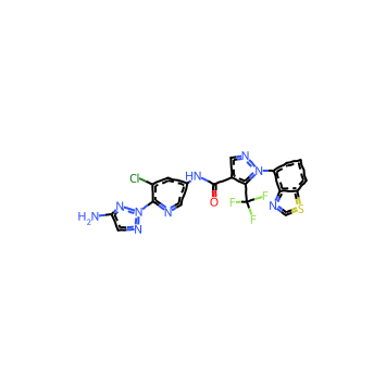 Nc1cnn(-c2ncc(NC(=O)c3cnn(-c4cccc5scnc45)c3C(F)(F)F)cc2Cl)n1